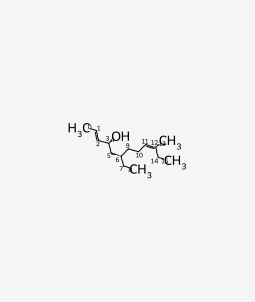 C/C=C/[C@@H](O)C[C@H](CC)CCC=C(C)CC